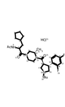 CC(=O)NC(CC1CCCC1)C(=O)N1CCN(C(=O)[C@@H]2CN(C(C)(C)C)C[C@H]2c2ccc(F)cc2F)[C@@H](C)C1.Cl